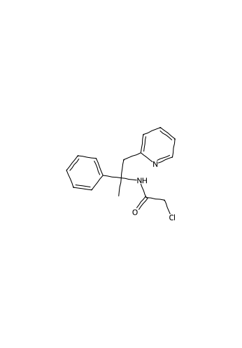 CC(Cc1ccccn1)(NC(=O)CCl)c1ccccc1